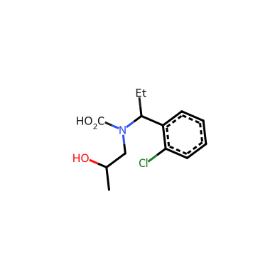 CCC(c1ccccc1Cl)N(CC(C)O)C(=O)O